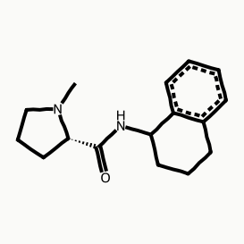 CN1CCC[C@H]1C(=O)NC1CCCc2ccccc21